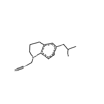 CC(C)Cc1ccc2c(c1)[CH]CCN2CC#N